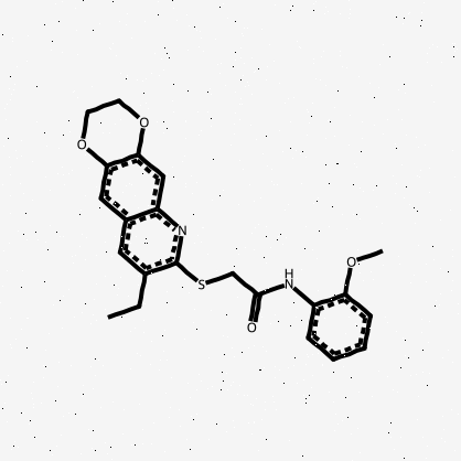 CCc1cc2cc3c(cc2nc1SCC(=O)Nc1ccccc1OC)OCCO3